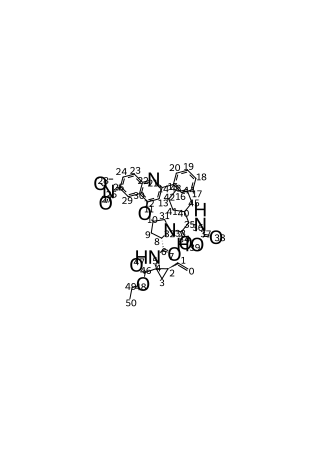 C=C[C@H]1C[C@]1(NC(=O)[C@@H]1CC(Oc2cc(-c3ccccc3)nc3ccc([N+](=O)[O-])cc23)CN1C(=O)[C@@H](NC(=O)O)C1CCCCC1)C(=O)OCC